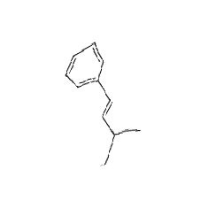 [CH2]C(C)C=Cc1ccccc1